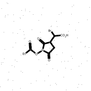 CCC(=O)ON1C(=O)CC(C(Br)C(=O)O)C1=O